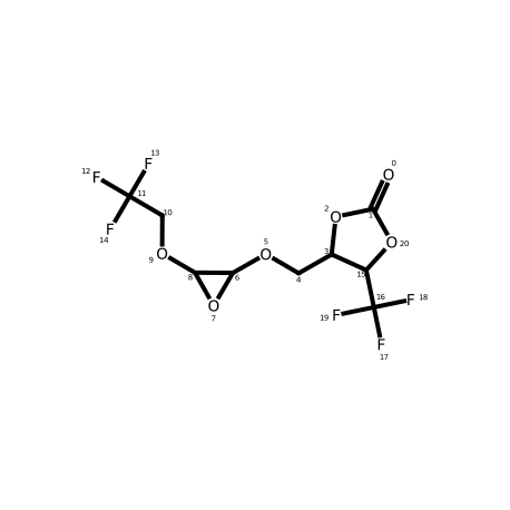 O=C1OC(COC2OC2OCC(F)(F)F)C(C(F)(F)F)O1